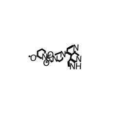 COC1CCCN(S(=O)(=O)CN2CCN(c3ccnc4cnc5[nH]ccc5c34)CC2)C1